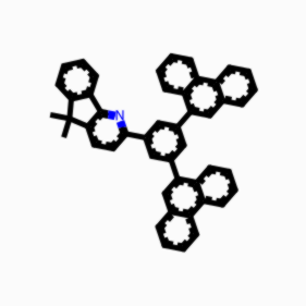 CC1(C)c2ccccc2-c2nc(-c3cc(-c4cc5ccccc5c5ccccc45)cc(-c4cc5ccccc5c5ccccc45)c3)ccc21